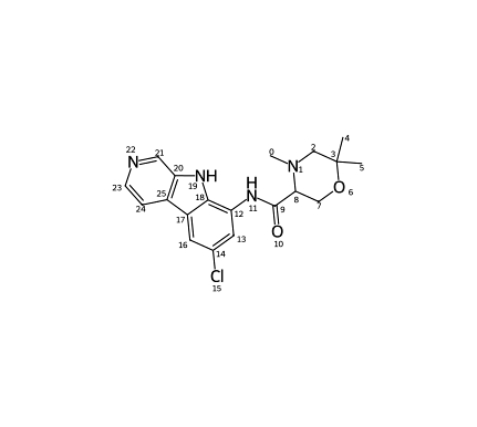 CN1CC(C)(C)OCC1C(=O)Nc1cc(Cl)cc2c1[nH]c1cnccc12